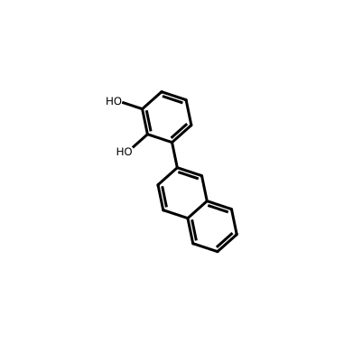 Oc1cccc(-c2ccc3ccccc3c2)c1O